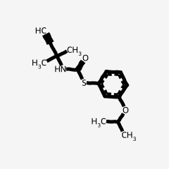 C#CC(C)(C)NC(=O)Sc1cccc(OC(C)C)c1